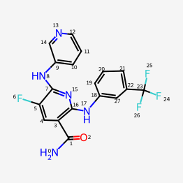 NC(=O)c1cc(F)c(Nc2cccnc2)nc1Nc1cccc(C(F)(F)F)c1